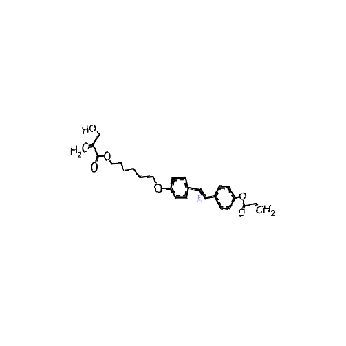 C=CC(=O)Oc1ccc(/C=C/c2ccc(OCCCCCCOC(=O)C(=C)CO)cc2)cc1